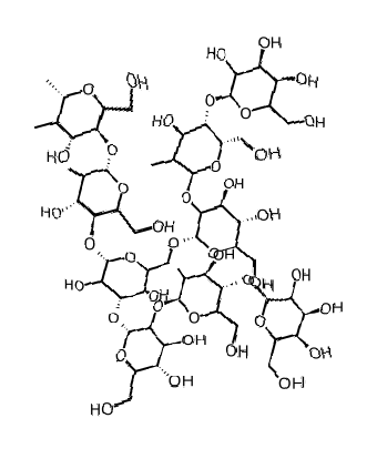 CC1C(O)[C@H](O[C@@H]2OC(CO)[C@H](O)[C@H](O)C2O)[C@H](CO)O[C@H]1OC1[C@@H](OCC2O[C@@H](O[C@@H]3C(CO)O[C@@H](O[C@@H]4C(CO)O[C@@H](C)C(C)[C@H]4O)C(C)[C@H]3O)C(O)[C@@H](O[C@H]3OC(CO)[C@@H](O)C(O)C3O[C@@H]3OC(CO)[C@@H](O[C@@H]4OC(CO)[C@H](O)[C@H](O)C4O)[C@H](O)C3C)[C@@H]2O)OC(CO)[C@@H](O)[C@@H]1O